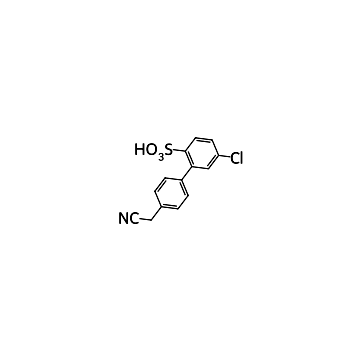 N#CCc1ccc(-c2cc(Cl)ccc2S(=O)(=O)O)cc1